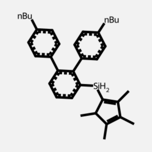 CCCCc1ccc(-c2cccc([SiH2]C3=C(C)C(C)=C(C)C3C)c2-c2ccc(CCCC)cc2)cc1